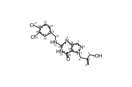 C=C(CO)Cn1ncc2nc(NCc3ccc(Cl)c(Cl)c3)[nH]c(=O)c21